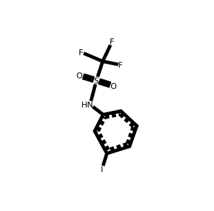 O=S(=O)(Nc1cccc(I)c1)C(F)(F)F